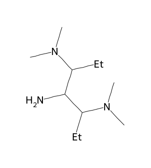 CCC(C(N)C(CC)N(C)C)N(C)C